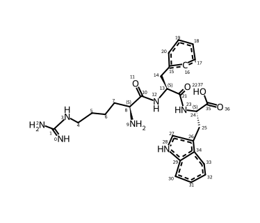 N=C(N)NCCCC[C@H](N)C(=O)N[C@@H](Cc1ccccc1)C(=O)N[C@@H](Cc1c[nH]c2ccccc12)C(=O)O